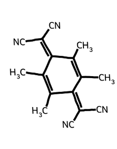 Cc1c(C)c(=C(C#N)C#N)c(C)c(C)c1=C(C#N)C#N